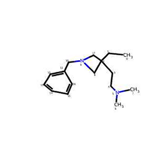 CCC1(CCN(C)C)CN(Cc2ccccc2)C1